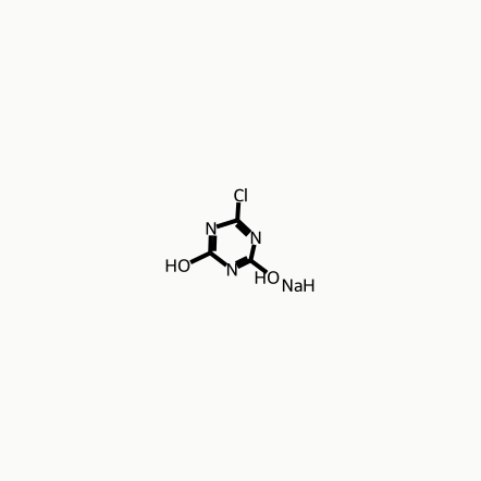 Oc1nc(O)nc(Cl)n1.[NaH]